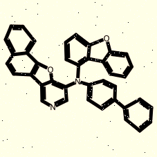 c1ccc(-c2ccc(N(c3cncc4c3oc3c5ccccc5ccc43)c3cccc4oc5ccccc5c34)cc2)cc1